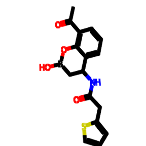 CC(=O)c1cccc2c1OB(O)CC2NC(=O)Cc1cccs1